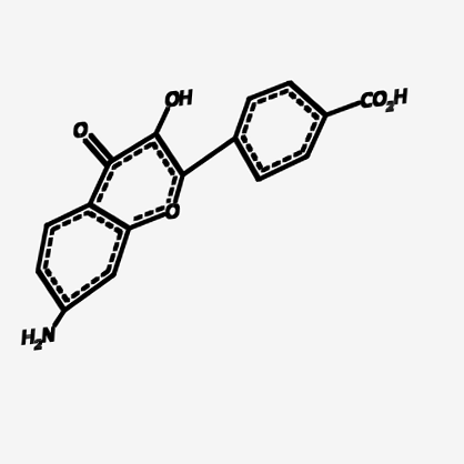 Nc1ccc2c(=O)c(O)c(-c3ccc(C(=O)O)cc3)oc2c1